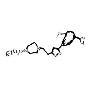 CCOC(=O)N1CCN(CCc2cc(-c3cc(Cl)ccc3F)on2)CC1